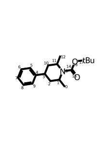 CC1CC(c2ccccc2)CC(C)N1C(=O)OC(C)(C)C